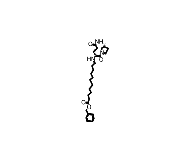 NC(=O)CC[C@H](NCCCCCCCCCCCC(=O)OCc1ccccc1)C(=O)N1CCCC1